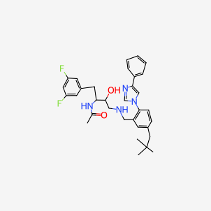 CC(=O)NC(Cc1cc(F)cc(F)c1)C(O)CNCc1cc(CC(C)(C)C)ccc1-n1cnc(-c2ccccc2)c1